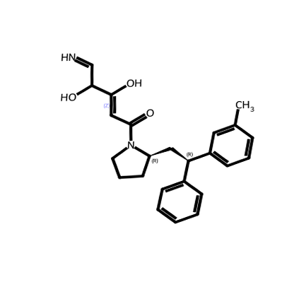 Cc1cccc([C@H](C[C@H]2CCCN2C(=O)/C=C(\O)C(O)C=N)c2ccccc2)c1